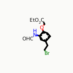 CCOC(=O)COc1ccc(CCBr)cc1NC=O